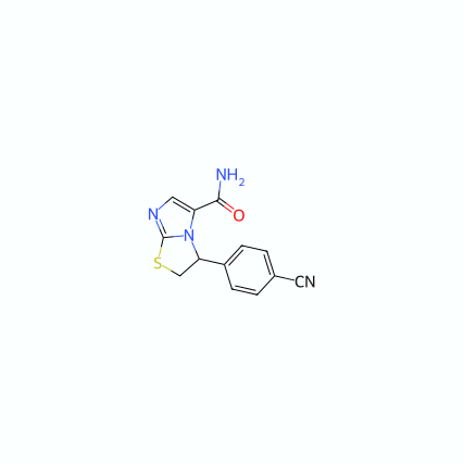 N#Cc1ccc(C2CSc3ncc(C(N)=O)n32)cc1